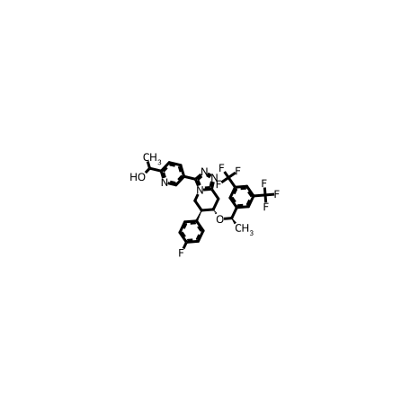 CC(O)c1ccc(-c2nnc3n2C[C@H](c2ccc(F)cc2)[C@@H](O[C@H](C)c2cc(C(F)(F)F)cc(C(F)(F)F)c2)C3)cn1